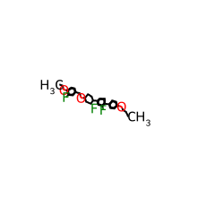 CCCCOc1ccc(-c2ccc(C3CCC(OCc4ccc(OCC)c(F)c4)CC3)c(F)c2F)cc1